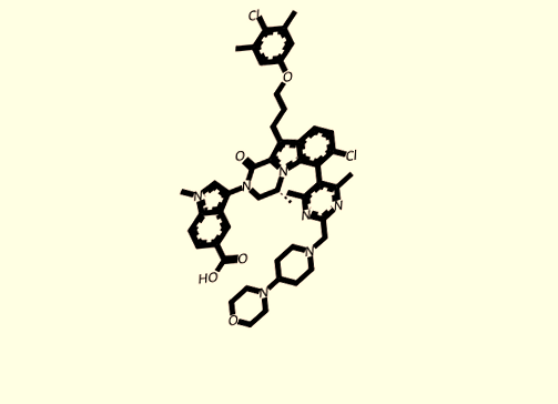 Cc1cc(OCCCc2c3n(c4c(-c5c(C)nc(CN6CCC(N7CCOCC7)CC6)nc5C)c(Cl)ccc24)[C@H](C)CN(c2cn(C)c4ccc(C(=O)O)cc24)C3=O)cc(C)c1Cl